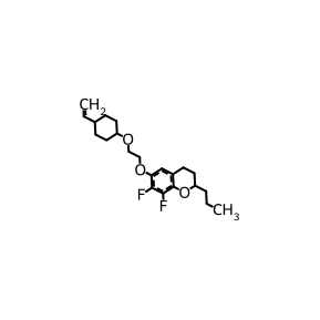 C=CC1CCC(OCCOc2cc3c(c(F)c2F)OC(CCC)CC3)CC1